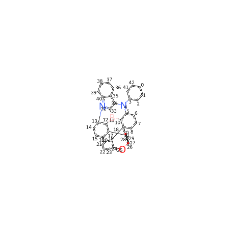 c1ccc(N2c3cccc4c3B3c5c(cccc5C45c4ccccc4Oc4ccccc45)-n4c3c2c2ccccc24)cc1